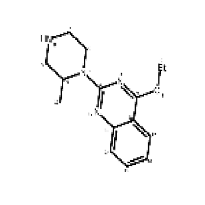 CCOc1nc(N2CCNCC2C)nc2ccccc12